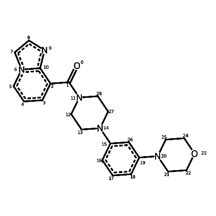 O=C(c1cccn2ccnc12)N1CCN(c2[c]ccc(N3CCOCC3)c2)CC1